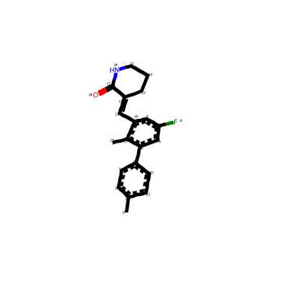 Cc1ccc(-c2cc(F)cc(/C=C3\CCCNC3=O)c2C)cc1